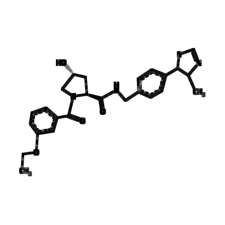 CCOc1cccc(C(=O)N2C[C@H](O)C[C@H]2C(=O)NCc2ccc(C3SC=NC3C)cc2)c1